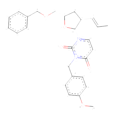 C/C=C/[C@H]1C[C@@H](COCc2ccccc2)O[C@H]1n1ccc(=O)n(Cc2ccc(OC)cc2)c1=O